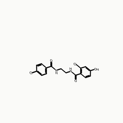 O=C(NCCNC(=O)c1ccc(O)cc1Cl)c1ccc(Cl)cc1